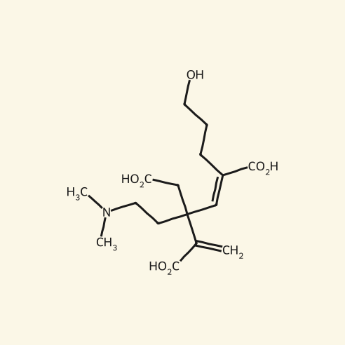 C=C(C(=O)O)C(C=C(CCCO)C(=O)O)(CCN(C)C)CC(=O)O